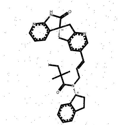 CC(C)(CI)C(=O)N(CC=Cc1cnc2c(c1)C[C@@]1(C2)C(=O)Nc2ncccc21)[C@@H]1CCc2ccccc21